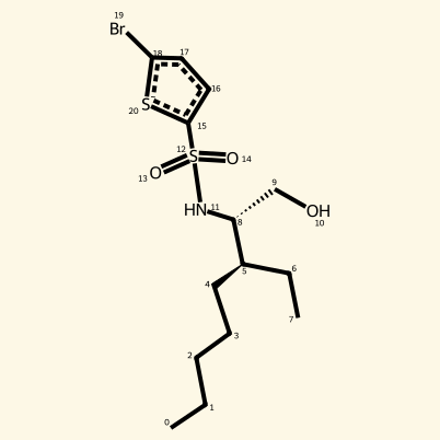 CCCCC[C@H](CC)[C@@H](CO)NS(=O)(=O)c1ccc(Br)s1